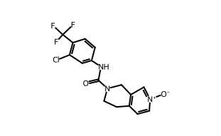 O=C(Nc1ccc(C(F)(F)F)c(Cl)c1)N1CCc2cc[n+]([O-])cc2C1